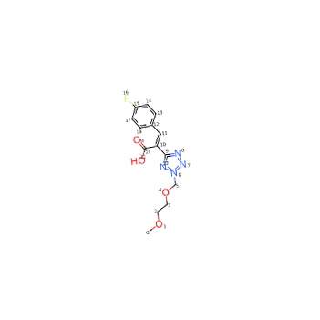 COCCOCn1nnc(C(=Cc2ccc(F)cc2)C(=O)O)n1